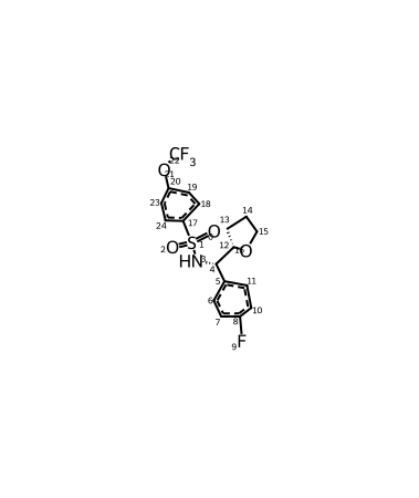 O=S(=O)(N[C@@H](c1ccc(F)cc1)[C@@H]1CCCO1)c1ccc(OC(F)(F)F)cc1